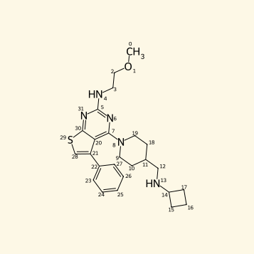 COCCNc1nc(N2CCC(CNC3CCC3)CC2)c2c(-c3ccccc3)csc2n1